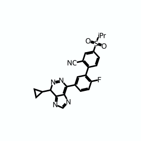 CC(C)S(=O)(=O)c1ccc(-c2cc(C3=C4N=CN=C4C(C4CC4)N=N3)ccc2F)c(C#N)c1